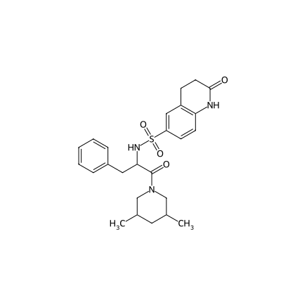 CC1CC(C)CN(C(=O)C(Cc2ccccc2)NS(=O)(=O)c2ccc3c(c2)CCC(=O)N3)C1